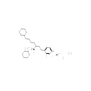 CC(C)(Sc1ccc(CCC(CCCCC2CCCCC2)C(=O)NC2CCCCC2)cc1)C(=O)O